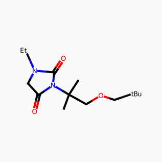 CCN1CC(=O)N(C(C)(C)COCC(C)(C)C)C1=O